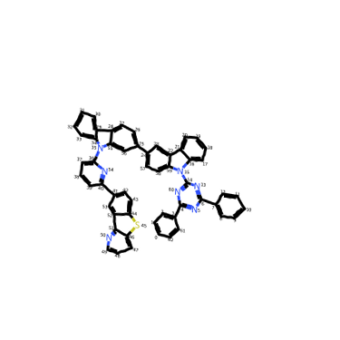 c1ccc(-c2nc(-c3ccccc3)nc(-n3c4ccccc4c4cc(-c5ccc6c7ccccc7n(-c7cccc(-c8ccc9sc%10cccnc%10c9c8)n7)c6c5)ccc43)n2)cc1